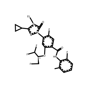 CCn1c(C2CC2)nn(-c2cc(O[C@@H](CF)C(F)F)c(C(=O)Nc3c(C)cccc3F)cc2F)c1=O